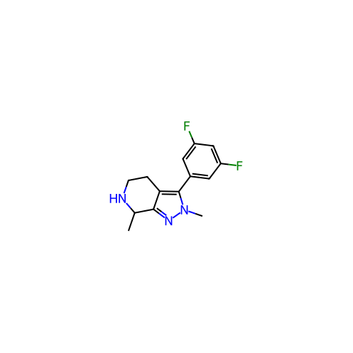 CC1NCCc2c1nn(C)c2-c1cc(F)cc(F)c1